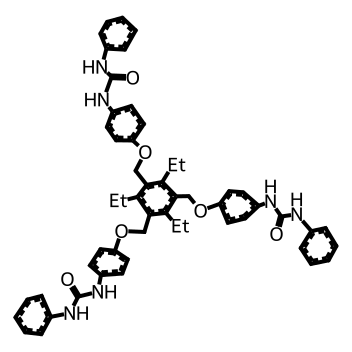 CCc1c(COc2ccc(NC(=O)Nc3ccccc3)cc2)c(CC)c(COc2ccc(NC(=O)Nc3ccccc3)cc2)c(CC)c1COc1ccc(NC(=O)Nc2ccccc2)cc1